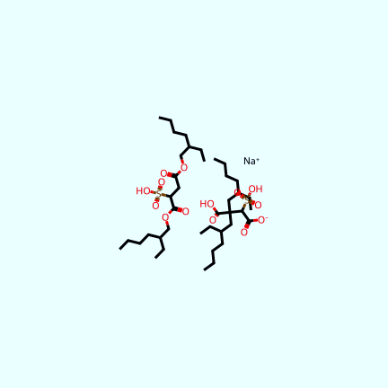 CCCCC(CC)CC(CC(CC)CCCC)(C(=O)O)C(C(=O)[O-])S(=O)(=O)O.CCCCC(CC)COC(=O)CC(C(=O)OCC(CC)CCCC)S(=O)(=O)O.[Na+]